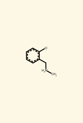 [CH2-][NH2+]Cc1ccccc1Cl